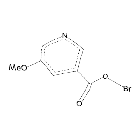 COc1cncc(C(=O)OBr)c1